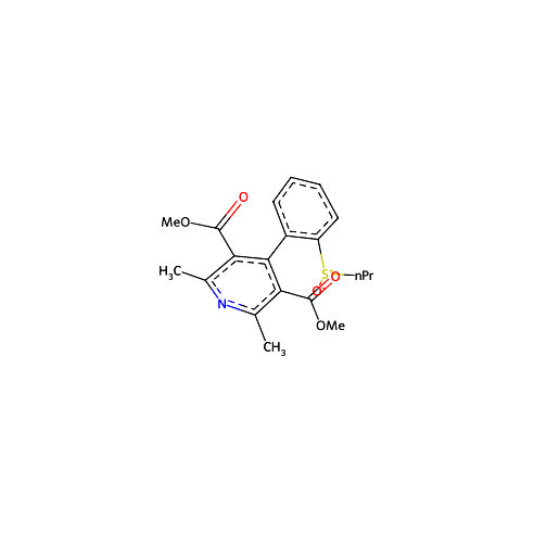 CCC[S+]([O-])c1ccccc1-c1c(C(=O)OC)c(C)nc(C)c1C(=O)OC